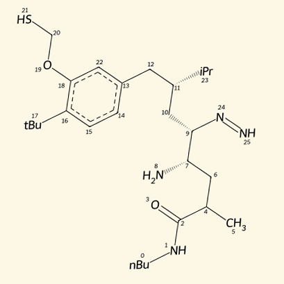 CCCCNC(=O)C(C)C[C@H](N)[C@H](C[C@H](Cc1ccc(C(C)(C)C)c(OCS)c1)C(C)C)N=N